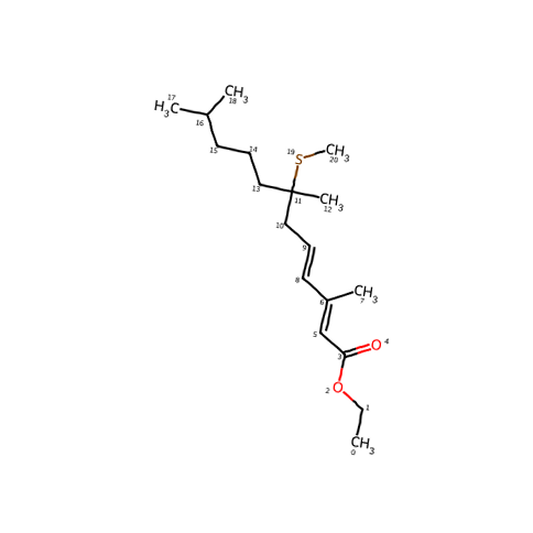 CCOC(=O)/C=C(C)/C=C/CC(C)(CCCC(C)C)SC